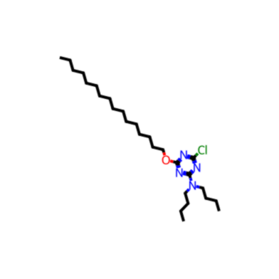 CCCCCCCCCCCCCCCCOc1nc(Cl)nc(N(CCCC)CCCC)n1